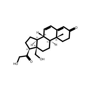 C[C@]12CCC(=O)C=C1C=C[C@H]1[C@@H]3CC[C@H](C(=O)CO)[C@@]3(CO)CC[C@@H]12